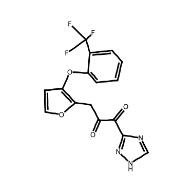 O=C(Cc1occc1Oc1ccccc1C(F)(F)F)C(=O)c1nc[nH]n1